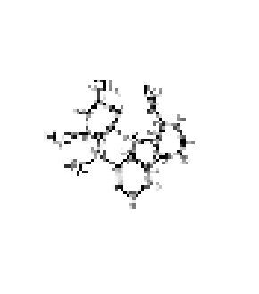 Cc1ccc(N(C)c2cccc3c2sc2c(C#N)cccc23)c(C)c1